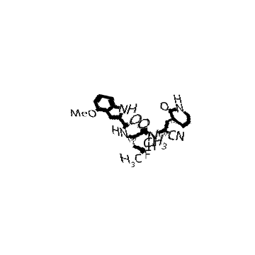 COc1cccc2[nH]c(C(=O)N[C@@H](CC(C)(C)F)C(=O)N[C@H](C#N)C[C@@H]3CCCNC3=O)cc12